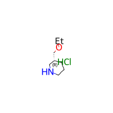 CCOC[C@@H]1CCCNC1.Cl